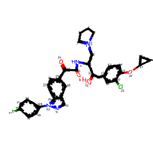 O=C(NC(CN1CCCC1)C(O)c1ccc(OC2CC2)c(Cl)c1)C(=O)c1ccc2c(cnn2-c2ccc(F)cc2)c1